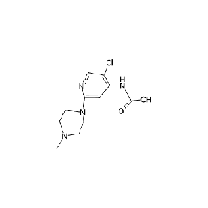 CC1CN(C)CCN1c1cc(NC(=O)O)c(Cl)cn1